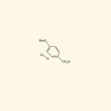 COc1ccc(C(=O)O)cc1.[O]Cl